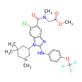 COC(=O)CN(C)C(=O)c1cc2nc(Nc3ccc(OC(F)(F)F)cc3)n(C3C[C@H](C)CC(C)(C)C3)c2cc1Cl